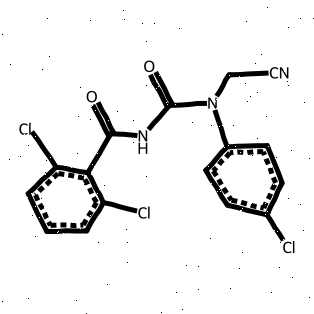 N#CCN(C(=O)NC(=O)c1c(Cl)cccc1Cl)c1ccc(Cl)cc1